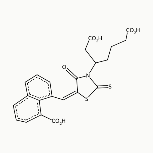 O=C(O)CCCC(CC(=O)O)N1C(=O)C(=Cc2cccc3cccc(C(=O)O)c23)SC1=S